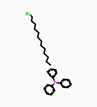 CCCCCCCCCCCCCBr.c1ccc(P(c2ccccc2)c2ccccc2)cc1